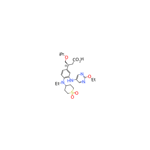 CCOc1ncc(Nc2cc([C@@H](COC(C)C)CC(=O)O)ccc2N(CC)C2CCS(=O)(=O)CC2)cn1